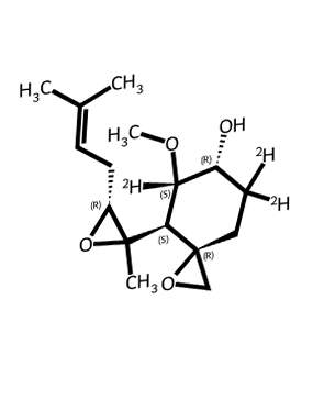 [2H]C1([2H])C[C@]2(CO2)[C@@H](C2(C)O[C@@H]2CC=C(C)C)[C@]([2H])(OC)[C@@H]1O